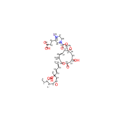 CC[C@H](O)[C@@H](C)[C@H]1O[C@@H]1CC(C)(O)/C=C/C=C(\C)[C@H]1OC(=O)C[C@H](O)CC[C@@](C)(OC)[C@@H](OC(=O)N2CCN(I)C(CCC(=O)O)C2)/C=C/[C@@H]1C